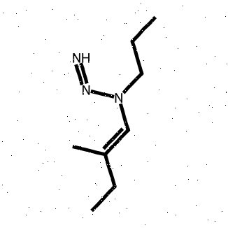 CCCN(/C=C(\C)CC)N=N